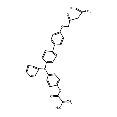 C=C(C)CC(=O)COc1ccc(-c2ccc(N(c3ccccc3)c3ccc(OC(=O)C(=C)C)cc3)cc2)cc1